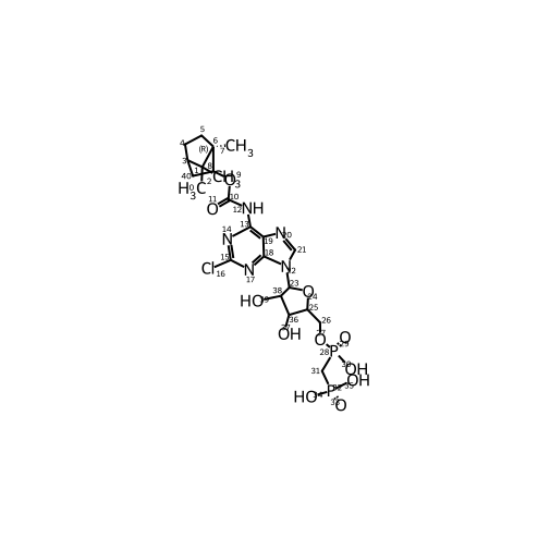 CC1(C)C2CC[C@@]1(C)C(OC(=O)Nc1nc(Cl)nc3c1ncn3C1OC(COP(=O)(O)CP(=O)(O)O)C(O)C1O)C2